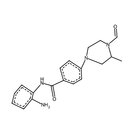 CC1CN(c2ccc(C(=O)Nc3ccccc3N)cc2)CCN1C=O